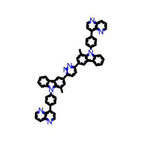 Cc1cc(-c2ccc(-c3cc(C)c4c(c3)c3ccccc3n4-c3ccc(-c4ccnc5cccnc45)cc3)nn2)cc2c3ccccc3n(-c3ccc(-c4ccnc5cccnc45)cc3)c12